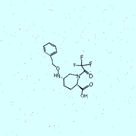 O=C(O)[C@H]1CC[C@H](NOCc2ccccc2)CN1C(=O)C(F)(F)F